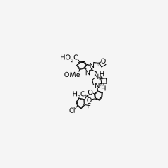 COc1cc(C(=O)O)cc2c1nc(CN1CCN(c3cccc4c3O[C@](C)(c3ccc(Cl)cc3F)O4)[C@H]3CC[C@H]31)n2C[C@@H]1CCO1